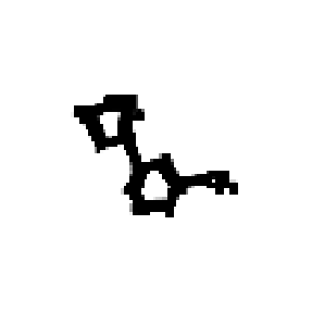 Cc1cncc(-c2cn[nH]c2)c1